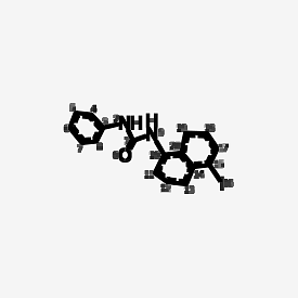 O=C(Nc1ccccc1)Nc1cccc2c(I)cccc12